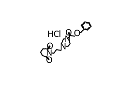 Cl.O=C(COCc1ccccc1)N1CCN(CCCN2C(=O)CCCC2=O)CC1